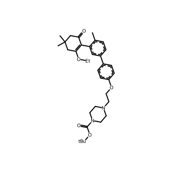 CCOC1=C(c2cc(-c3ccc(OCCN4CCN(C(=O)OC(C)(C)C)CC4)cc3)ccc2C)C(=O)CC(C)(C)C1